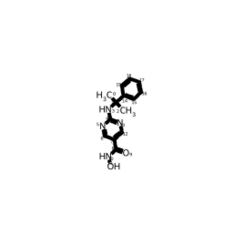 CC(C)(Nc1ncc(C(=O)NO)cn1)c1ccccc1